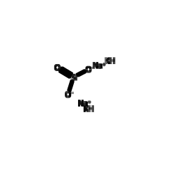 O=[Si]([O-])[O-].[KH].[KH].[Na+].[Na+]